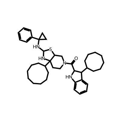 O=C(C1Nc2ccccc2C1C1CCCCCCC1)N1CCC2(C3CCCCCCCC3)NC(NC3(c4ccccc4)CC3)SC2C1